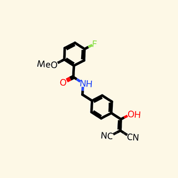 COc1ccc(F)cc1C(=O)NCc1ccc(C(O)=C(C#N)C#N)cc1